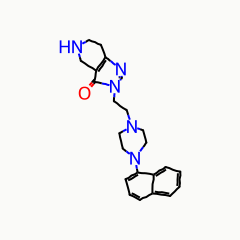 O=c1c2c(ncn1CCN1CCN(c3cccc4ccccc34)CC1)CCNC2